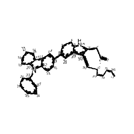 C=C/C=c1/[nH]c2ccc(-c3ccc4c(c3)c3ccccc3n4-c3ccccc3)cc2/c1=C/C/C=C\C=C/C